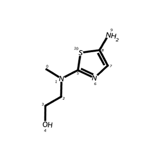 CN(CCO)c1ncc(N)s1